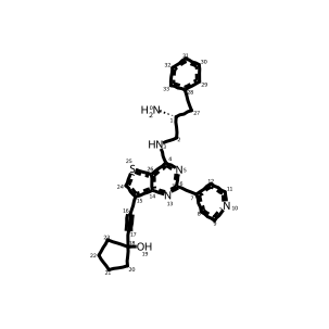 N[C@@H](CNc1nc(-c2ccncc2)nc2c(C#CC3(O)CCCC3)csc12)Cc1ccccc1